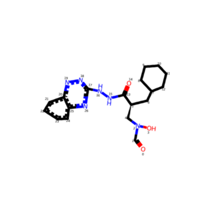 O=CN(O)C[C@H](CC1CCCCC1)C(=O)NNc1nnc2ccccc2n1